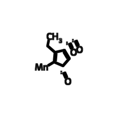 CCC1=[C]([Mn])CC=C1.[C]=O.[C]=O.[C]=O